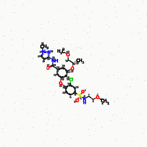 COCCNS(=O)(=O)c1ccc(Oc2cc(O[C@@H](C)COC)cc(C(=O)Nc3ccn(C)n3)c2)c(Cl)c1